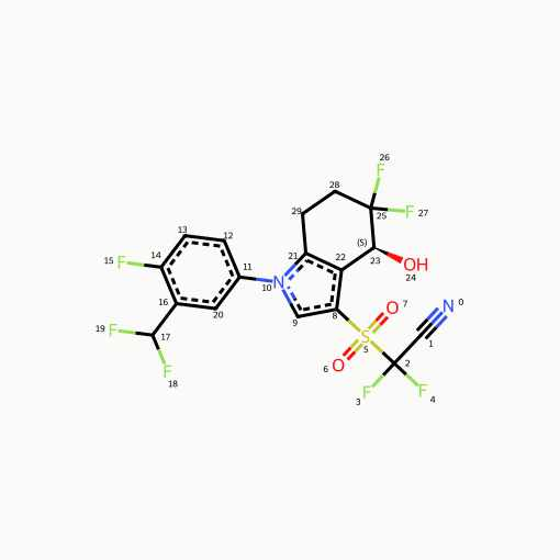 N#CC(F)(F)S(=O)(=O)c1cn(-c2ccc(F)c(C(F)F)c2)c2c1[C@H](O)C(F)(F)CC2